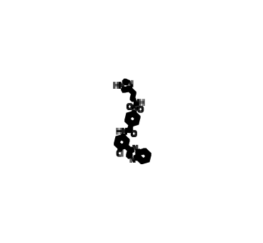 O=C(Nc1ccc(Cl)c(-c2cnc3ccccc3n2)c1)c1ccc(S(=O)(=O)NCCc2c[nH]cn2)cc1